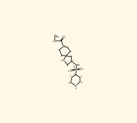 CC(C)(C)OC(=O)N1CCC2(CC1)CC(NS(=O)(=O)C1CCOCC1)CO2